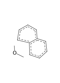 COC.c1ccc2ccccc2c1